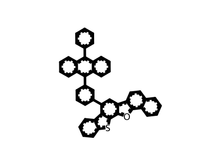 c1ccc(-c2c3ccccc3c(-c3cccc(-c4cc5c6ccc7ccccc7c6oc5c5sc6ccccc6c45)c3)c3ccccc23)cc1